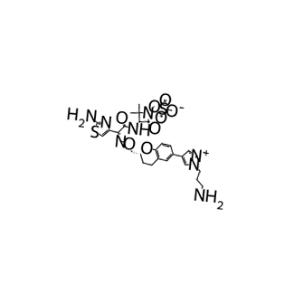 C[n+]1cc(-c2ccc3c(c2)CC[C@H](CO/N=C(\C(=O)N[C@@H]2C(=O)N(OS(=O)(=O)[O-])C2(C)C)c2csc(N)n2)O3)cn1CCCN